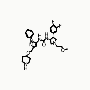 COCCN1C[C@@H](NC(=O)Nc2cc(COC3CCNCC3)nn2-c2ccccc2)[C@H](c2ccc(F)c(F)c2)C1